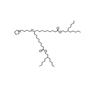 CCCCCC(CCCCC)CCOC(=O)CCCCCCCCC(CCCCCCCCC(=O)OCCC(CCCCC)CCCCC)OCCCCN1CCCC1